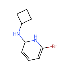 BrC1=CC=CC(NC2CCC2)N1